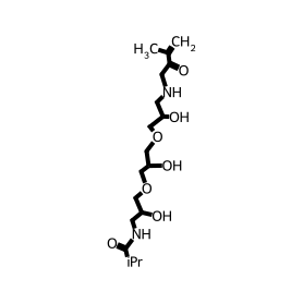 C=C(C)C(=O)CNCC(O)COCC(O)COCC(O)CNC(=O)C(C)C